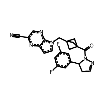 N#Cc1cnc2c(ccn2CC23CC(C(=O)N4N=CCC4c4cc(F)cc(F)c4)(C2)C3)n1